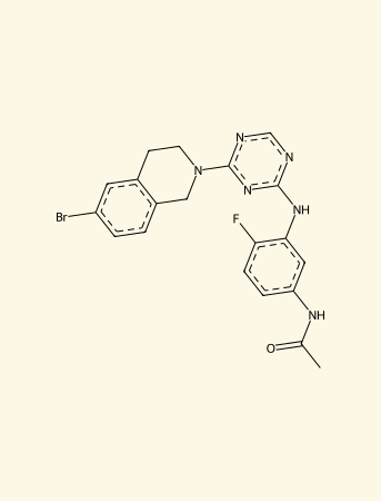 CC(=O)Nc1ccc(F)c(Nc2ncnc(N3CCc4cc(Br)ccc4C3)n2)c1